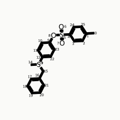 Cc1ccc(S(=O)(=O)Oc2ccc([S+](C)Cc3ccccc3)cc2)cc1